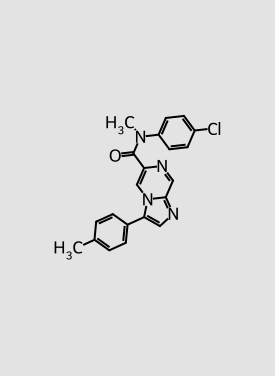 Cc1ccc(-c2cnc3cnc(C(=O)N(C)c4ccc(Cl)cc4)cn23)cc1